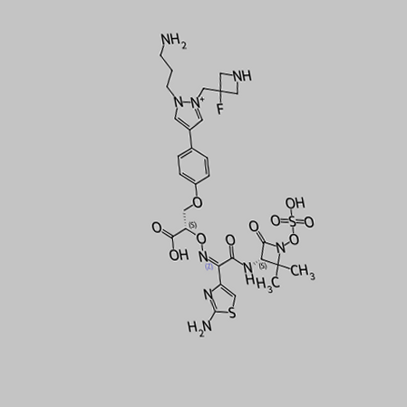 CC1(C)[C@H](NC(=O)/C(=N\O[C@@H](COc2ccc(-c3cn(CCCN)[n+](CC4(F)CNC4)c3)cc2)C(=O)O)c2csc(N)n2)C(=O)N1OS(=O)(=O)O